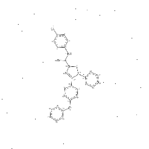 O=C(Nc1ccc(Cl)cc1)N1CC(c2ccccc2)C(c2ccc(Oc3ccccc3)cc2)=N1